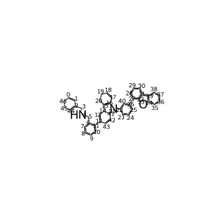 C1=CC(CNCc2ccccc2C2=CC3C4=C(C=CCC4)N(c4cccc(-c5cccc6c5oc5ccccc56)c4)C3C=C2)=CCC1